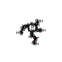 C=C(/C=C\C(=C/C)S(=O)(=O)CCOS(=O)(=O)O)NS(=O)(=O)c1ccc2/c3[nH]/c(c2c1)=N\C1=NC(=N\c2[nH]c(c4cc(S(=O)O)ccc24)/N=C(\N)C(=C)/C=C\C(S(=O)(=O)Nc2ccc(S(=O)(=O)CCOS(=C)(=O)O)cc2)=C/CC/N=3)/c2cc(S(=O)(=O)O)ccc21